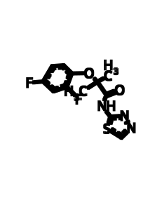 CC(C)(Oc1ccc(F)cc1F)C(=O)Nc1nncs1